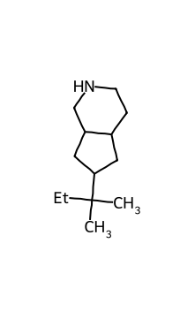 CCC(C)(C)C1CC2CCNCC2C1